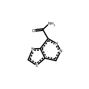 NC(=O)c1nncc2s[c]nc12